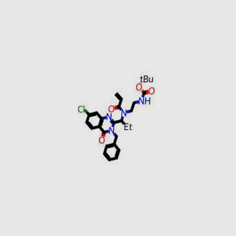 C=CC(=O)N(CCNC(=O)OC(C)(C)C)C(CC)c1nc2cc(Cl)ccc2c(=O)n1Cc1ccccc1